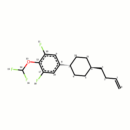 C=CCC[C@H]1CC[C@H](c2cc(F)c(OC(F)F)c(F)c2)CC1